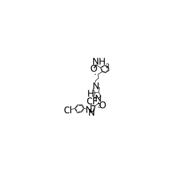 NC(=O)c1ccccc1[CH]CCN1CC2CN(C(=O)c3cnn(-c4ccc(Cl)cc4)c3C(F)(F)F)C[C@@H]2C1